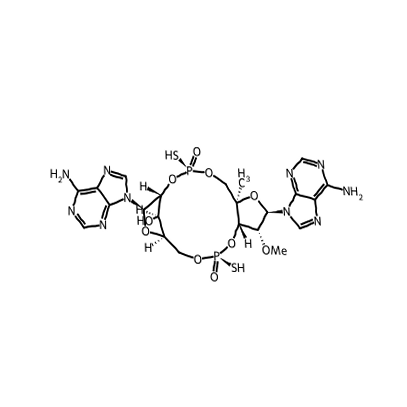 CO[C@H]1[C@H](n2cnc3c(N)ncnc32)O[C@]2(C)CO[P@](=O)(S)O[C@@H]3[C@H](O)[C@@H](CO[P@](=O)(S)O[C@@H]12)O[C@H]3n1cnc2c(N)ncnc21